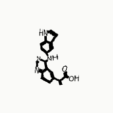 C=C(C(=O)O)c1ccc2ncnc(Nc3ccc4[nH]ccc4c3)c2c1